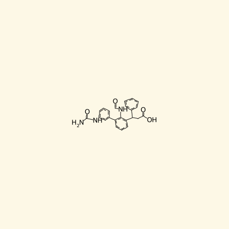 NC(=O)Nc1cccc(-c2cccc(C(CC(=O)O)c3ccccc3)c2NC=O)c1